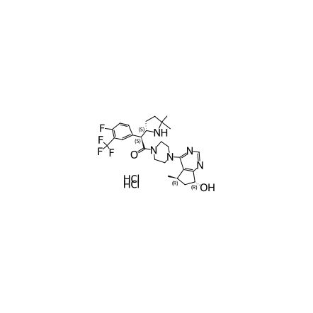 C[C@@H]1C[C@@H](O)c2ncnc(N3CCN(C(=O)[C@@H](c4ccc(F)c(C(F)(F)F)c4)[C@@H]4CCC(C)(C)N4)CC3)c21.Cl.Cl